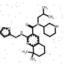 CC(C)CN(C(=O)c1cc2c(nc1NCc1ccco1)C(C)(C)CCC2)C1CCCNC1